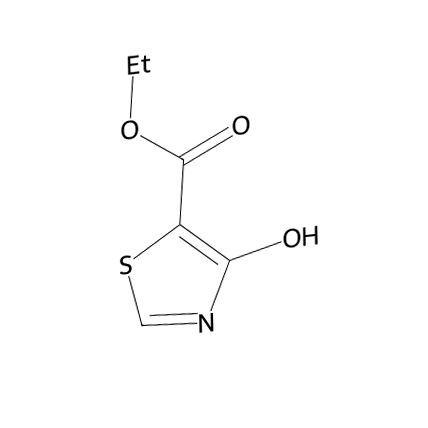 CCOC(=O)c1scnc1O